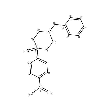 O=[N+]([O-])c1ccc(P2(=O)CCN(Cc3ccccc3)CC2)cc1